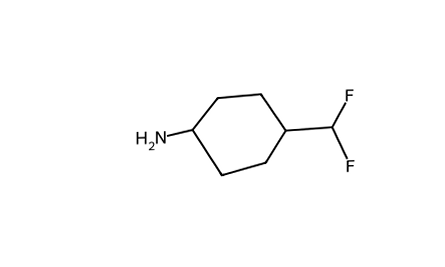 NC1CCC(C(F)F)CC1